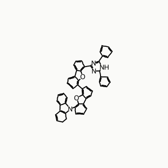 C1=Cc2c(n(-c3cccc4c3oc3c(-c5cccc6c5oc5c(C7=NC(c8ccccc8)NC(c8ccccc8)=N7)cccc56)cccc34)c3ccccc23)CC1